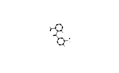 O=C(O)c1cccc(F)c1C(=O)c1ccc(Cl)c([N+](=O)[O-])c1